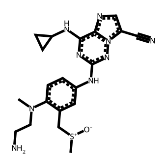 CN(CCN)c1ccc(Nc2nc(NC3CC3)c3ncc(C#N)n3n2)cc1C[S+](C)[O-]